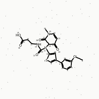 COc1cccc(-c2csc(N(C(=O)NCCC(=O)O)C3C(=O)C=CN(C)C3=O)c2)c1